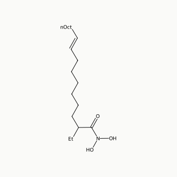 CCCCCCCCC=CCCCCCCC(CC)C(=O)N(O)O